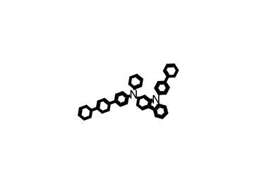 C1=CCCC(c2ccc(-n3c4c(c5ccccc53)=CCC(N(C3=CC=CCC3)c3ccc(C5=CC=C(C6CC=CCC6)CC5)cc3)C=4)cc2)=C1